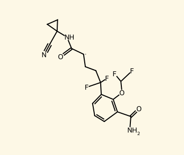 N#CC1(NC(=O)[CH]CCC(F)(F)c2cccc(C(N)=O)c2OC(F)F)CC1